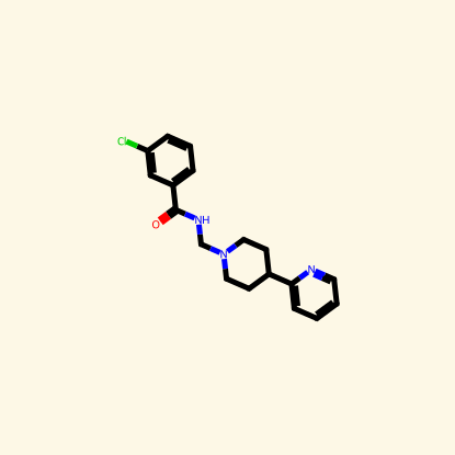 O=C(NCN1CCC(c2ccccn2)CC1)c1cccc(Cl)c1